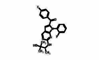 C[C@H](Nc1ncc2cc(C(=O)c3ccc(F)cc3)n(-c3ccccc3F)c2n1)C(C)(C)O